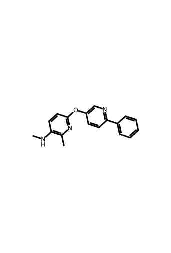 CNc1ccc(Oc2ccc(-c3ccccc3)nc2)nc1C